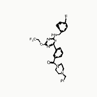 CC(C)CN1CCN(C(=O)c2cccc(-c3nc(NCc4ccc(F)cc4)nc(OCC(F)(F)F)n3)c2)CC1